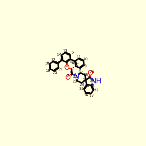 O=C(COc1c(-c2ccccc2)cccc1-c1ccccc1)N1CCC2(CC1)C(=O)Nc1ccccc12